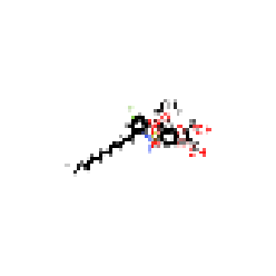 CCCCCCCCCCc1cc(F)ccc1NS(=O)(=O)C1CCC2(C=C1C(=O)OCC)O[C@@H](CO)[C@H](CO)O2